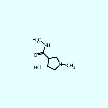 CNC(=O)C1CCN(C)C1.Cl